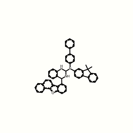 CC1(C)c2ccccc2-c2ccc(N(c3ccc(-c4ccccc4)cc3)C3Nc4ccccc4C(c4cccc5oc6c7ccccc7ccc6c45)N3)cc21